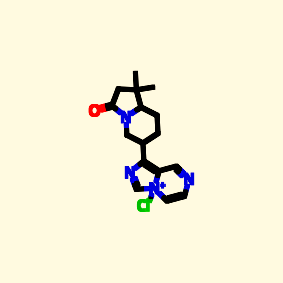 CC1(C)CC(=O)N2CC(C3=C4C=NC=C[N+]4(Cl)C=N3)CCC21